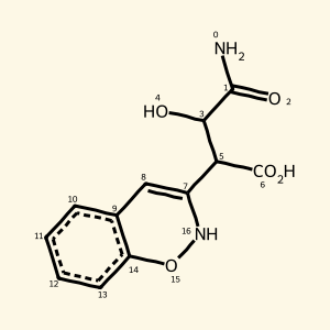 NC(=O)C(O)C(C(=O)O)C1=Cc2ccccc2ON1